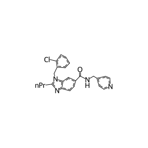 CCCc1nc2ccc(C(=O)NCc3ccncc3)cc2n1Cc1ccccc1Cl